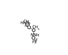 CNc1ncc2cc(-c3cc(-c4nc5ccc(C(F)(F)F)cc5[nH]4)ccc3C)ccc2n1